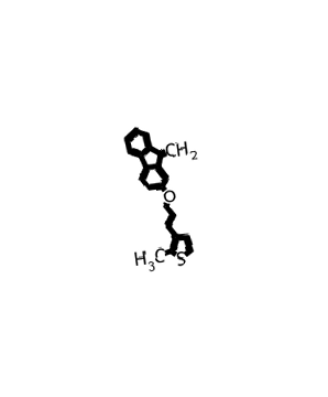 C=C1c2ccccc2-c2ccc(OC/C=C/c3ccsc3C)cc21